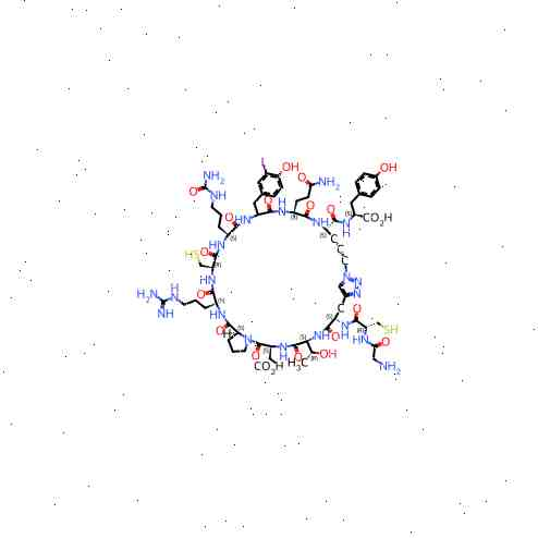 C[C@@H](O)[C@@H]1NC(=O)[C@@H](NC(=O)[C@H](CS)NC(=O)CN)Cc2cn(nn2)CCC[C@@H](C(=O)N[C@@H](Cc2ccc(O)cc2)C(=O)O)NC(=O)[C@H](CCC(N)=O)NC(=O)C(Cc2ccc(O)c(I)c2)NC(=O)[C@H](CCCNC(N)=O)NC(=O)[C@H](CS)NC(=O)[C@H](CCCNC(=N)N)NC(=O)[C@@H]2CCCN2C(=O)[C@H](CC(=O)O)NC1=O